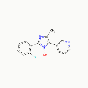 Cc1nc(-c2ccccc2F)n(O)c1-c1cccnc1